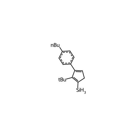 CCCCc1ccc(C2=CCC([SiH3])=C2C(C)(C)C)cc1